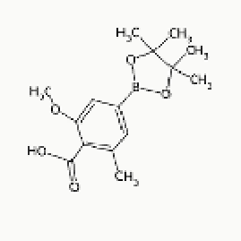 COc1cc(B2OC(C)(C)C(C)(C)O2)cc(C)c1C(=O)O